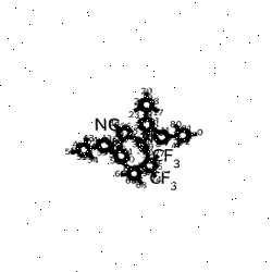 Cc1cc(C)c(-c2ccc3c(c2)c2cc(-c4c(C)cc(C)cc4C)ccc2n3-c2cc3ccc2-c2ccc(C#N)cc2-n2c4ccc(-c5c(C)cc(C)cc5C)cc4c4cc(ccc42)-c2c(C)cc(C)cc2-c2cc(C(F)(F)F)cc(C(F)(F)F)c2-3)c(C)c1